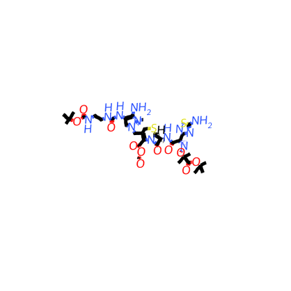 Cn1c(N)c(NC(=O)NCCNC(=O)OC(C)(C)C)c[n+]1CC1=C(C(=O)OC=O)N2C(=O)[C@@H](NC(=O)/C(=N\OC(C)(C)C(=O)OC(C)(C)C)c3nsc(N)n3)[C@H]2SC1